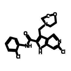 O=C(Nc1ccccc1Cl)c1[nH]c2cc(Cl)ncc2c1CN1CCOCC1